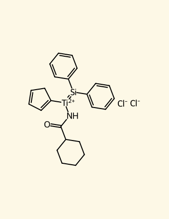 O=C([NH][Ti+2]([C]1=CC=CC1)=[Si](c1ccccc1)c1ccccc1)C1CCCCC1.[Cl-].[Cl-]